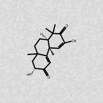 CCC[C@@H]1CC2(C)CC[C@H]3C(C)(C)C(=O)C(C#N)=C[C@]3(C)C2=CC1=O